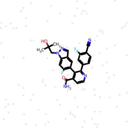 CC(C)(O)Cn1ncc2cc(-c3c(C(N)=O)ccnc3-c3ccc(C#N)c(F)c3)c(F)cc21